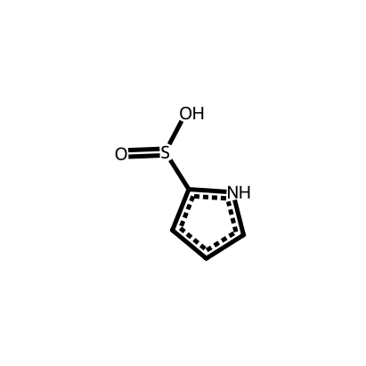 O=S(O)c1ccc[nH]1